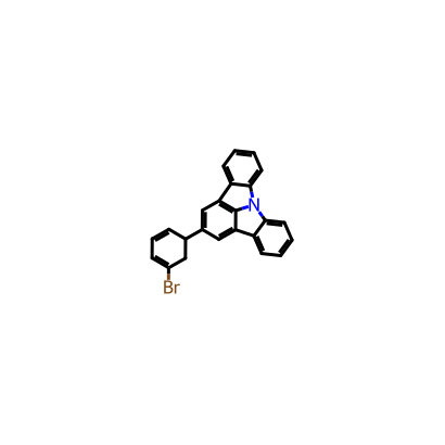 BrC1=CC=CC(c2cc3c4ccccc4n4c5ccccc5c(c2)c34)C1